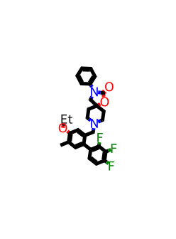 CCOc1cc(CN2CCC3(CC2)CN(c2ccccc2)C(=O)O3)c(-c2ccc(F)c(F)c2F)cc1C